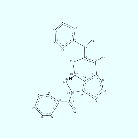 CC1=C(C(C)c2ccccc2)C[C@@H]2CN(C(=O)c3ccccc3)c3cccc1c32